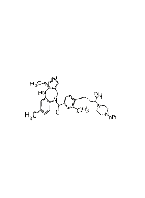 CCCN1CCN(C(O)CCc2ccc(C(=O)N3Cc4cnn(C)c4Nc4cc(C)ccc43)cc2C)CC1